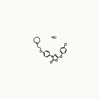 Cl.O=c1oc(Oc2ccc(Cl)cc2)nn1-c1ccc(OCCN2CCCCC2)cc1